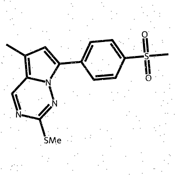 CSc1ncc2c(C)cc(-c3ccc(S(C)(=O)=O)cc3)n2n1